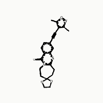 Cc1noc(C)c1C#Cc1ccc2c(=O)n3c(nc2c1)CCC1(CC3)OCCO1